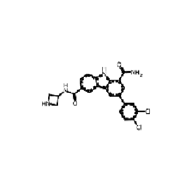 NC(=O)c1cc(-c2ccc(Cl)c(Cl)c2)cc2c1[nH]c1ccc(C(=O)NC3CNC3)cc12